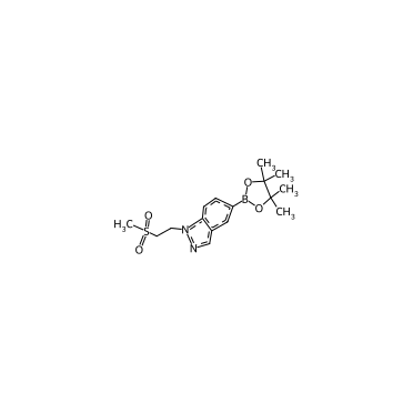 CC1(C)OB(c2ccc3c(cnn3CCS(C)(=O)=O)c2)OC1(C)C